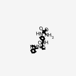 Nc1c(Nc2ccc(NC(=O)c3sccc3NCc3ccnc4ccccc34)cc2)c(=O)c1=O